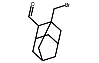 O=CC1C2CC3CC(C2)CC1(CBr)C3